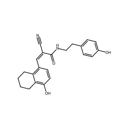 N#CC(=Cc1ccc(O)c2c1CCCC2)C(=O)NCCc1ccc(O)cc1